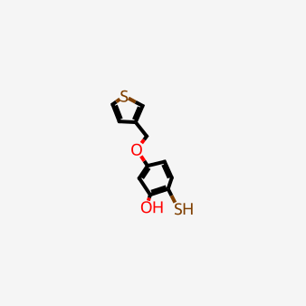 Oc1cc(OCc2ccsc2)ccc1S